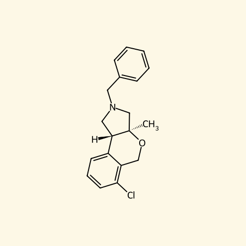 C[C@@]12CN(Cc3ccccc3)C[C@H]1c1cccc(Cl)c1CO2